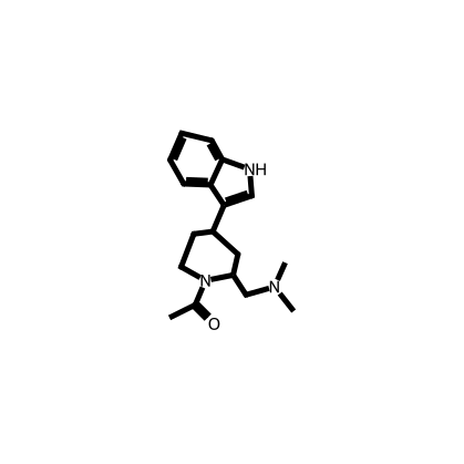 CC(=O)N1CCC(c2c[nH]c3ccccc23)CC1CN(C)C